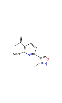 C=C(C)c1ccc(-c2conc2C)nc1NC